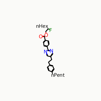 CCCCCC[C@H](F)COC(=O)c1ccc(-c2ncc(CCc3ccc(CCCCC)cc3)cn2)cc1